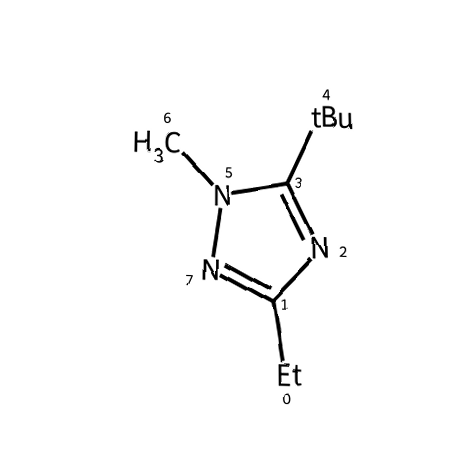 CCc1nc(C(C)(C)C)n(C)n1